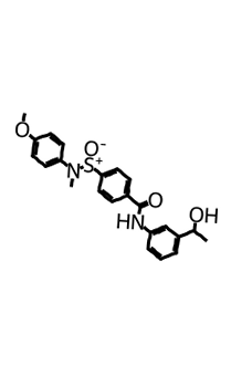 COc1ccc(N(C)[S+]([O-])c2ccc(C(=O)Nc3cccc(C(C)O)c3)cc2)cc1